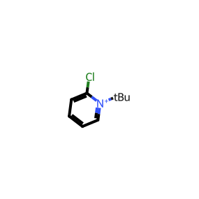 CC(C)(C)[n+]1ccccc1Cl